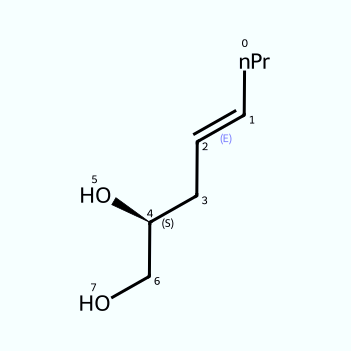 CCC/C=C/C[C@H](O)CO